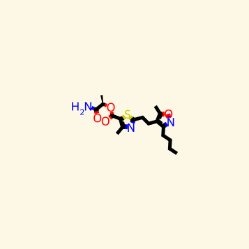 CCCCc1noc(C)c1CCc1nc(C)c(C(=O)O[C@H](C)C(N)=O)s1